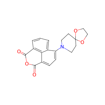 O=C1OC(=O)c2ccc(N3CCC4(CC3)OCCO4)c3cccc1c23